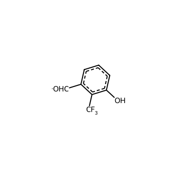 O=[C]c1cccc(O)c1C(F)(F)F